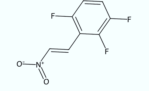 O=[N+]([O-])/C=C/c1c(F)ccc(F)c1F